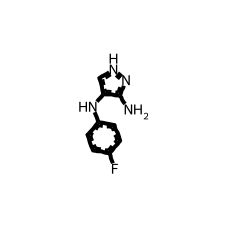 Nc1n[nH]cc1Nc1ccc(F)cc1